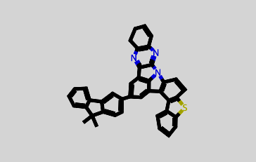 CC1(C)c2ccccc2-c2cc(-c3cc4c5nc6c(nc5n5c7ccc8sc9ccccc9c8c7c(c3)c45)C=CCC6)ccc21